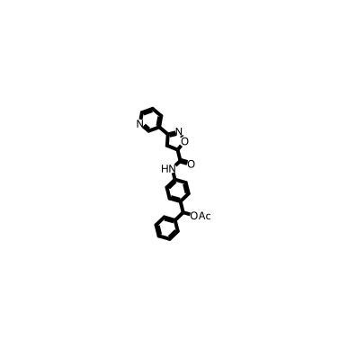 CC(=O)OC(c1ccccc1)c1ccc(NC(=O)C2CC(c3cccnc3)=NO2)cc1